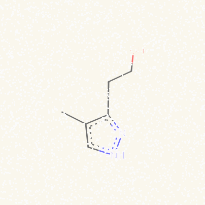 Cc1c[nH]nc1CCO